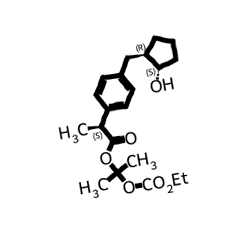 CCOC(=O)OC(C)(C)OC(=O)[C@@H](C)c1ccc(C[C@H]2CCC[C@@H]2O)cc1